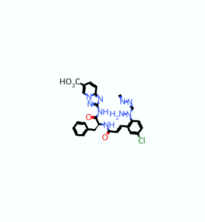 C=N/N=C\N(N)c1ccc(Cl)cc1/C=C/C(=O)N[C@@H](Cc1ccccc1)C(=O)Nc1nc2ccc(C(=O)O)cn2n1